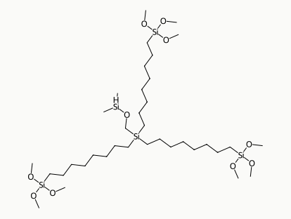 CO[Si](CCCCCCCC[Si](CCCCCCCC[Si](OC)(OC)OC)(CCCCCCCC[Si](OC)(OC)OC)CO[SiH](C)C)(OC)OC